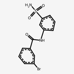 NS(=O)(=O)c1cccc(NC(=O)c2cccc(Br)c2)c1